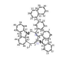 CC1/C=c2\c(c3cccc4c5ccccc5n2c34)=C(\c2cccc(-c3cccc4ccccc34)c2)Cn2c3ccccc3c3cccc1c32